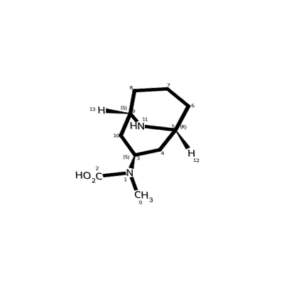 CN(C(=O)O)[C@@H]1C[C@H]2CCC[C@@H](C1)N2